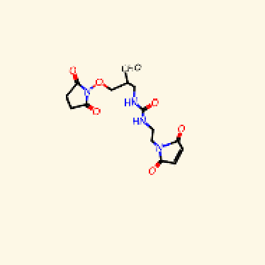 O=CC(CNC(=O)NCCN1C(=O)C=CC1=O)CON1C(=O)CCC1=O